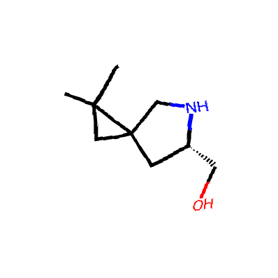 CC1(C)CC12CN[C@H](CO)C2